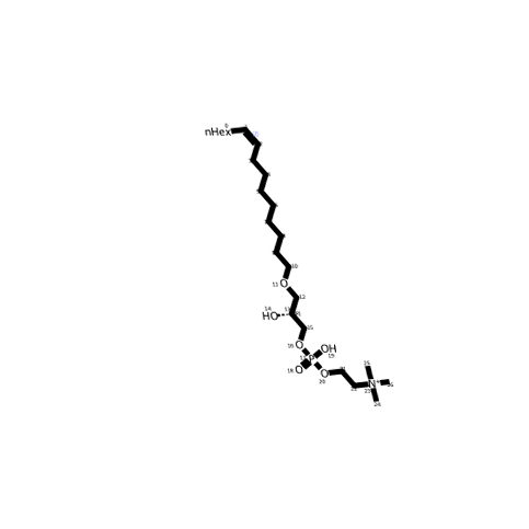 CCCCCC/C=C\CCCCCCCCOC[C@@H](O)COP(=O)(O)OCC[N+](C)(C)C